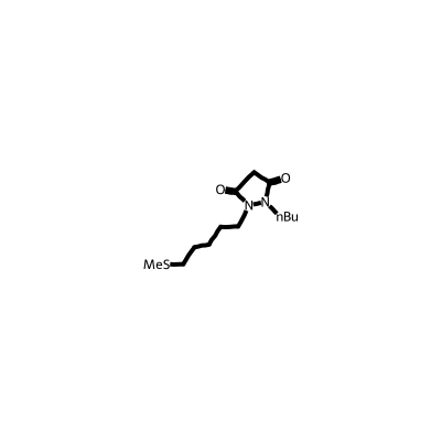 CCCCN1C(=O)CC(=O)N1CCCCCSC